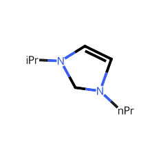 CCCN1C=CN(C(C)C)C1